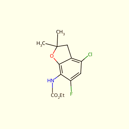 CCOC(=O)Nc1c(F)cc(Cl)c2c1OC(C)(C)C2